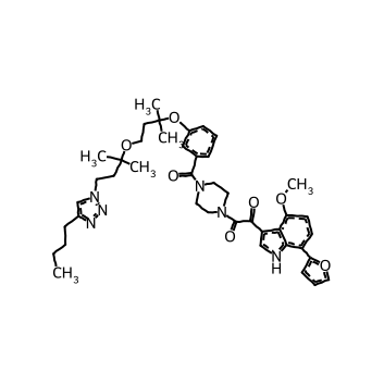 CCCCc1cn(CCC(C)(C)OCCC(C)(C)Oc2cccc(C(=O)N3CCN(C(=O)C(=O)c4c[nH]c5c(-c6ccco6)ccc(OC)c45)CC3)c2)nn1